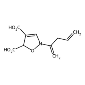 C=CCC(=C)N1C=C(C(=O)O)C(C(=O)O)O1